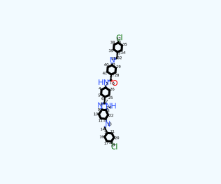 O=C(Nc1ccc(-c2nc3ccc(N=Cc4ccc(Cl)cc4)cc3[nH]2)cc1)c1ccc(N=Cc2ccc(Cl)cc2)cc1